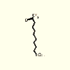 CCCCCCCCCCCCCCCCC(=O)C(F)(F)F